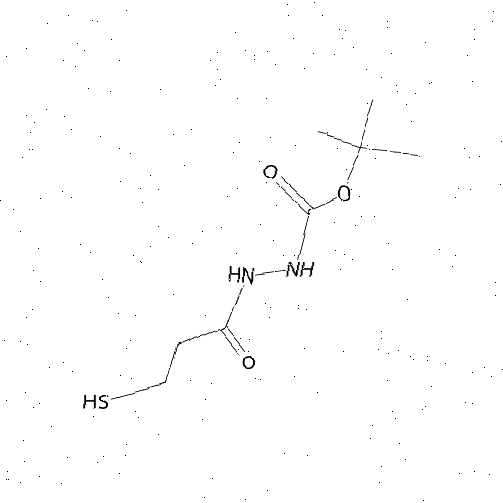 CC(C)(C)OC(=O)NNC(=O)CCS